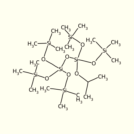 CC(C)O[Si](O[Si](C)(C)C)(O[Si](C)(C)C)O[Si](O[Si](C)(C)C)(O[Si](C)(C)C)O[Si](C)(C)C